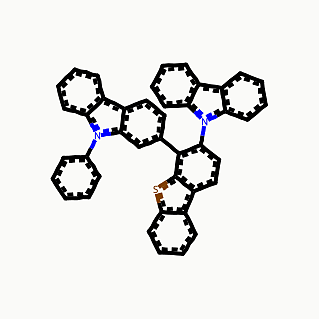 c1ccc(-n2c3ccccc3c3ccc(-c4c(-n5c6ccccc6c6ccccc65)ccc5c4sc4ccccc45)cc32)cc1